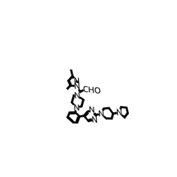 Cc1cc(C)n(C(C=O)N2CCN(c3ccccc3-c3cnc(N4CCC(N5CCCC5)CC4)nc3)CC2)n1